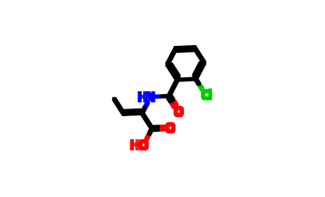 C/C=C(\NC(=O)c1ccccc1Cl)C(=O)O